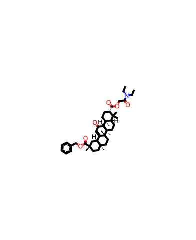 CCN(CC)C(=O)COC(=O)[C@H]1CC[C@]2(C)[C@H]3C(=O)C=C4[C@@H]5C[C@@](C)(C(=O)OCc6ccccc6)CC[C@]5(C)CC[C@@]4(C)[C@]3(C)CC[C@H]2C1(C)C